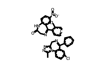 Cc1nnc2n1-c1ccc(Cl)cc1C(c1ccccc1)=NC2.O=C1CN=C(c2ccccc2Cl)c2cc([N+](=O)[O-])ccc2N1